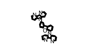 c1cc(-n2c3cccnc3c3ncccc32)c2oc3ccc(-n4c5cccnc5c5ncccc54)cc3c2c1